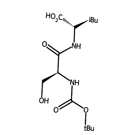 CC[C@H](C)[C@H](NC(=O)[C@H](CO)NC(=O)OC(C)(C)C)C(=O)O